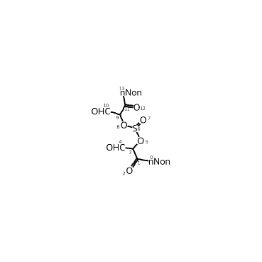 CCCCCCCCCC(=O)C(C=O)OS(=O)OC(C=O)C(=O)CCCCCCCCC